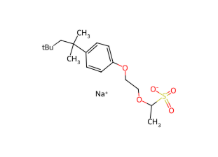 CC(OCCOc1ccc(C(C)(C)CC(C)(C)C)cc1)S(=O)(=O)[O-].[Na+]